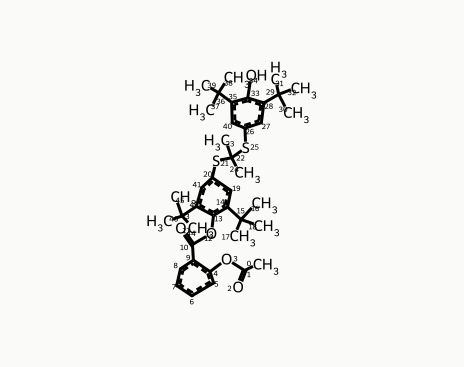 CC(=O)Oc1ccccc1C(=O)Oc1c(C(C)(C)C)cc(SC(C)(C)Sc2cc(C(C)(C)C)c(O)c(C(C)(C)C)c2)cc1C(C)(C)C